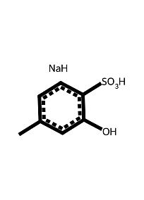 Cc1ccc(S(=O)(=O)O)c(O)c1.[NaH]